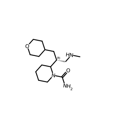 CNC[C@@H](CC1CCOCC1)C1CCCCN1C(N)=O